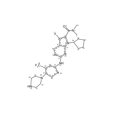 CN(C)C(=O)c1c(F)c2cnc(Nc3cc(C(F)(F)F)c(N4CCNCC4)cn3)nc2n1C1CCCC1